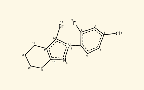 Fc1cc(Cl)ccc1-n1nc2c(c1Br)CCCC2